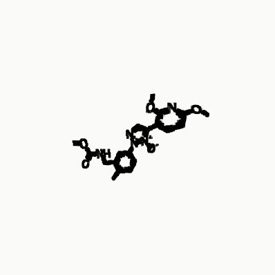 COC(=O)NCc1cc(-n2ncc(-c3ccc(OC)nc3OC)[n+]2[O-])ccc1C